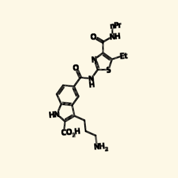 CCCNC(=O)c1nc(NC(=O)c2ccc3[nH]c(C(=O)O)c(CCCN)c3c2)sc1CC